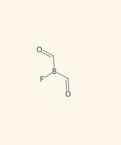 O=CB(F)C=O